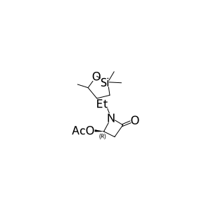 CC1CC[Si](C)(C)O1.CCN1C(=O)C[C@H]1OC(C)=O